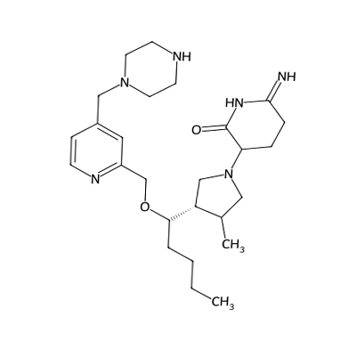 CCCCC(OCc1cc(CN2CCNCC2)ccn1)[C@@H]1CN(C2CCC(=N)NC2=O)CC1C